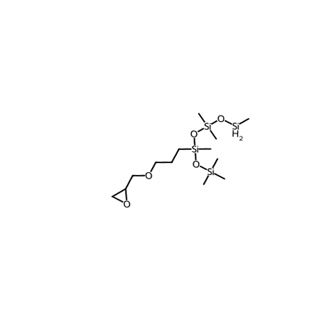 C[SiH2]O[Si](C)(C)O[Si](C)(CCCOCC1CO1)O[Si](C)(C)C